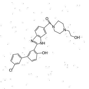 O=C(c1ccc2nc(-c3cc(-c4cccc(Cl)c4)ccc3O)[nH]c2c1)N1CCN(CCO)CC1